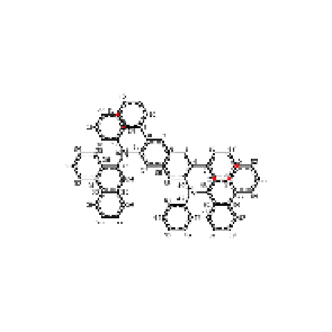 c1ccc(-c2cc3cc(-c4ccccc4)c(N(c4ccccc4)c4cc5ccccc5c5ccccc45)cc3cc2N(c2ccccc2)c2cc3ccccc3c3ccccc23)cc1